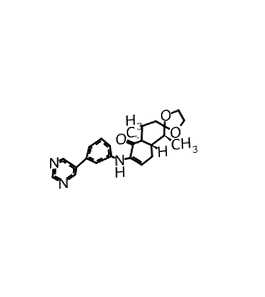 C[C@H]1[C@@H]2CC=C(Nc3cccc(-c4cncnc4)c3)C(=O)[C@@]2(C)CCC12OCCO2